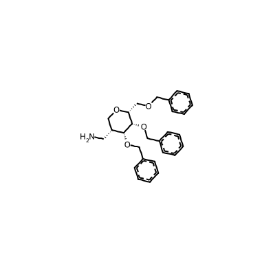 NC[C@@H]1CO[C@H](COCc2ccccc2)[C@H](OCc2ccccc2)[C@@H]1OCc1ccccc1